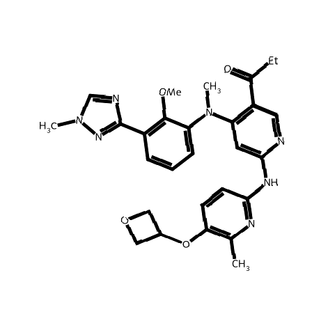 CCC(=O)c1cnc(Nc2ccc(OC3COC3)c(C)n2)cc1N(C)c1cccc(-c2ncn(C)n2)c1OC